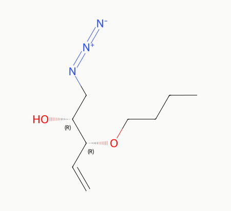 C=C[C@@H](OCCCC)[C@H](O)CN=[N+]=[N-]